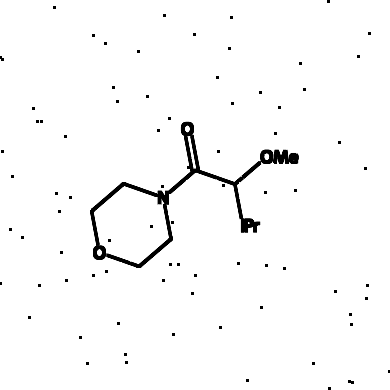 COC(C(=O)N1CCOCC1)C(C)C